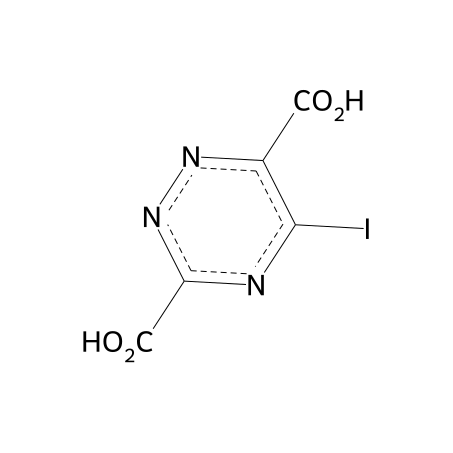 O=C(O)c1nnc(C(=O)O)c(I)n1